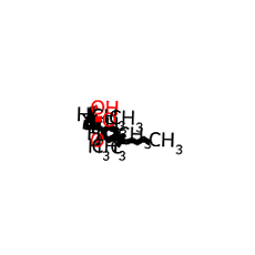 CCCCCCC(C)(C)c1cc(OC)c(C2C=C(CO)[C@H]3C[C@@H]2C3(C)C)c(OC)c1